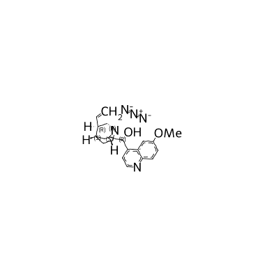 C=C[C@H]1C[N@]2CC[C@H]1C[C@H]2[C@H](O)c1ccnc2ccc(OC)cc12.[N-]=[N+]=[N-]